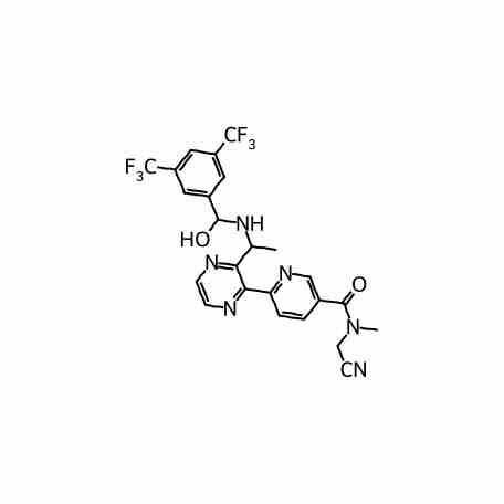 CC(NC(O)c1cc(C(F)(F)F)cc(C(F)(F)F)c1)c1nccnc1-c1ccc(C(=O)N(C)CC#N)cn1